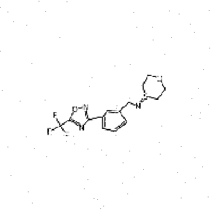 FC(F)(F)c1nc(-c2cccc(CN=S3CCOCC3)c2)no1